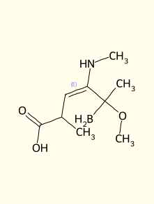 BC(C)(OC)/C(=C\C(C)C(=O)O)NC